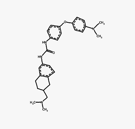 CN(C)CC1CCc2cc(NC(=O)Nc3ccc(Oc4ccc(N(C)C)cc4)cc3)ccc2C1